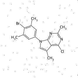 Cc1nc(Cl)c2c(C)cn(-c3cc(C)c(Br)c(C)c3)c2n1